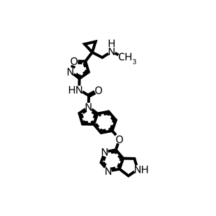 CNCC1(c2cc(NC(=O)n3ccc4cc(Oc5ncnc6c5CNC6)ccc43)no2)CC1